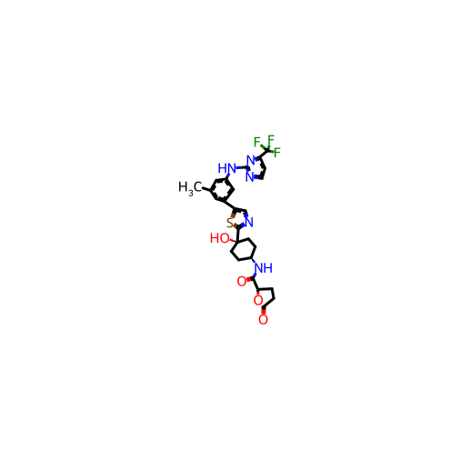 Cc1cc(Nc2nccc(C(F)(F)F)n2)cc(-c2cnc([C@]3(O)CC[C@@H](NC(=O)C4CCC(=O)O4)CC3)s2)c1